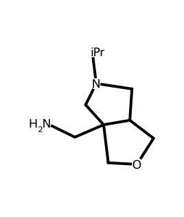 CC(C)N1CC2COCC2(CN)C1